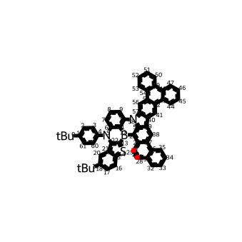 CC(C)(C)c1ccc(N2c3cccc4c3B(c3sc5ccc(C(C)(C)C)cc5c32)c2c3c5ccccc5c5ccccc5c3cc3c5cc6c7ccccc7c7ccccc7c6cc5n-4c23)cc1